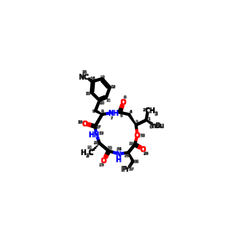 CCCC[C@H](C)[C@@H]1CC(=O)N[C@H](Cc2cccc(C#N)c2)C(=O)N[C@@H](C)C(=O)N[C@H](CC(C)C)C(=O)O1